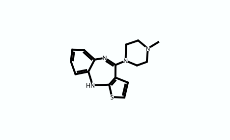 CN1CCN(C2=Nc3ccccc3Nc3sccc32)CC1